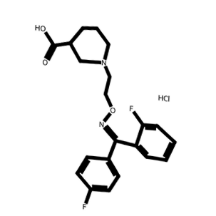 Cl.O=C(O)C1CCCN(CCON=C(c2ccc(F)cc2)c2ccccc2F)C1